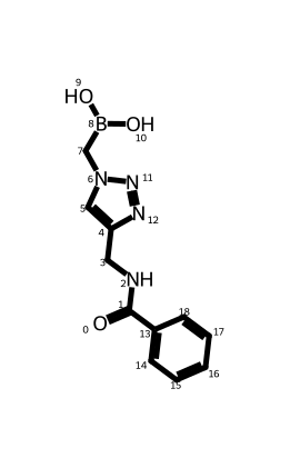 O=C(NCc1cn(CB(O)O)nn1)c1ccccc1